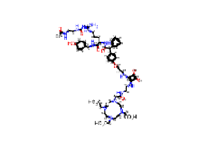 CCC(=O)NCCNC(=O)/N=C(/N)NCCC[C@@H](NC(=O)C(c1ccccc1)c1ccc(OCCCNc2c(NCCNC(=O)CN3CCN(CC(=O)O)CCN(CC(=O)O)CCN(CC(=O)O)CC3)c(=O)c2=O)cc1)C(=O)NCc1ccc(O)cc1